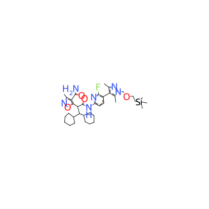 Cc1noc(C(C(=O)Nc2ccc(-c3c(C)nn(COCC[Si](C)(C)C)c3C)c(F)n2)C(C2CCCCC2)C2CCCCC2)c1C(N)=O